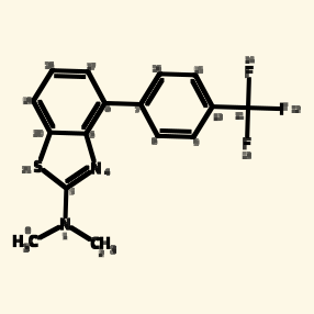 CN(C)c1nc2c(-c3ccc(C(F)(F)F)cc3)cccc2s1